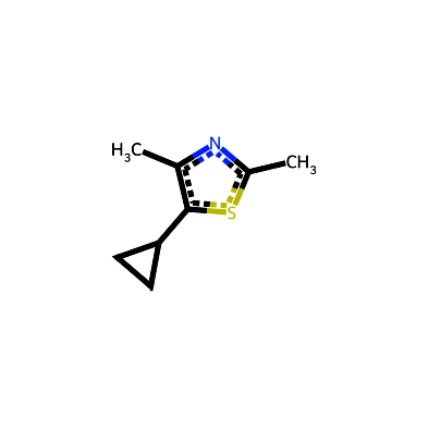 Cc1nc(C)c(C2[CH]C2)s1